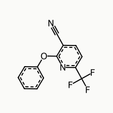 N#Cc1ccc(C(F)(F)F)nc1Oc1ccccc1